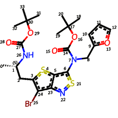 C[C@@H](Cc1sc2c(N(Cc3ccco3)C(=O)OC(C)(C)C)snc2c1Br)NC(=O)OC(C)(C)C